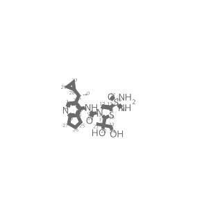 C[C@H](c1cnc2c(c1NC(=O)N1C=C(S(=N)(N)=O)SC1C(C)(O)CO)CCC2)C1CC1